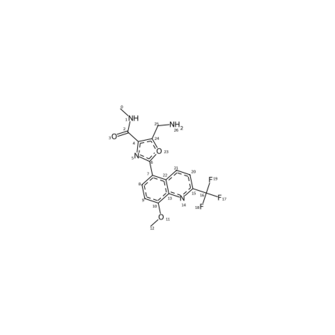 CNC(=O)c1nc(-c2ccc(OC)c3nc(C(F)(F)F)ccc23)oc1CN